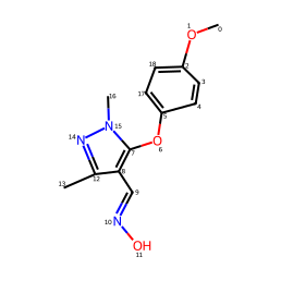 COc1ccc(Oc2c(/C=N/O)c(C)nn2C)cc1